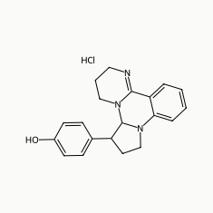 Cl.Oc1ccc(C2CCN3c4ccccc4C4=NCCCN4C23)cc1